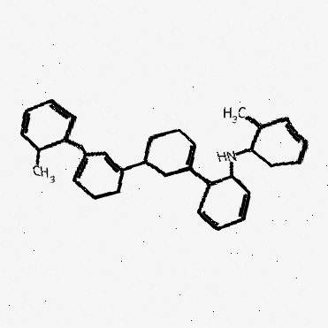 CC1C=CCCC1NC1C=CC=CC1C1=CCCC(C2=CC(C3C=CC=CC3C)=CCC2)C1